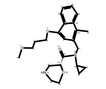 COCCCOc1cc(CN(C(=O)[C@H]2CNCCO2)C2CC2)c(C)c2ccccc12